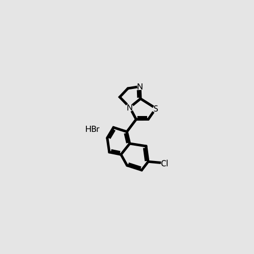 Br.Clc1ccc2cccc(C3=CSC4=NCCN34)c2c1